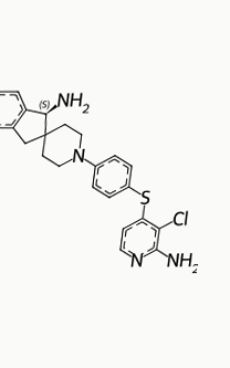 Nc1nccc(Sc2ccc(N3CCC4(CC3)Cc3ncccc3[C@H]4N)cc2)c1Cl